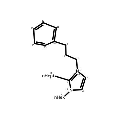 CCCCCCCc1n(CCCCCC)cc[n+]1CCCc1ccccc1